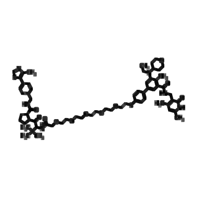 CCN(c1cc(-c2ccc(SCCOCCOCCOCCOCCOCC(=O)N[C@H](C(=O)C3CCC[C@H]3C(=O)NCc3ccc(-c4scnc4C)cc3)C(C)(C)C)cc2)cc(C(=O)NCc2c(C)cc(C)[nH]c2=O)c1C)C1CCOCC1